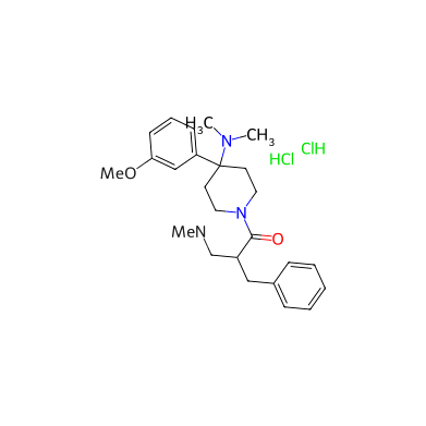 CNCC(Cc1ccccc1)C(=O)N1CCC(c2cccc(OC)c2)(N(C)C)CC1.Cl.Cl